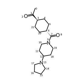 CC(=O)[C@H]1CC[C@H](C(=O)N2CCC(N3CCCC3)CC2)CC1